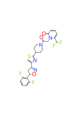 O=C(Cn1c(C(F)F)cccc1=O)N1CCC(c2nc(C3=NOC(c4c(F)cccc4F)C3)cs2)CC1